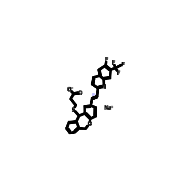 O=C([O-])CCSC1c2ccccc2COc2ccc(/C=C/c3ccc4cc(F)c(C(F)(F)F)cc4n3)cc21.[Na+]